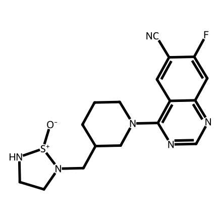 N#Cc1cc2c(N3CCCC(CN4CCN[S+]4[O-])C3)ncnc2cc1F